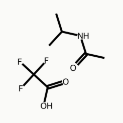 CC(=O)NC(C)C.O=C(O)C(F)(F)F